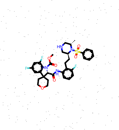 COC(=O)N[C@H](C(=O)Nc1cccc(F)c1CC[C@H]1CNC[C@H](C)N1S(=O)(=O)c1ccccc1)C1(c2cc(F)cc(F)c2)CCOCC1